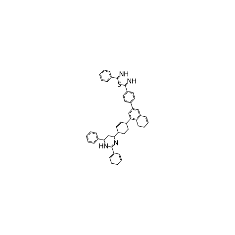 N=C(SC(=N)c1ccc(-c2cc3c(c(C4C=CC(C5CC(c6ccccc6)NC(C6=CCCC=C6)=N5)CC4)c2)CCC=C3)cc1)c1ccccc1